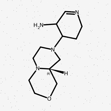 NC1C=NCCC1N1CCN2CCOC[C@H]2C1